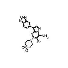 Nc1c(Br)c(N2CCS(=O)(=O)CC2)nc2c(-c3ccc4nonc4c3)cnn12